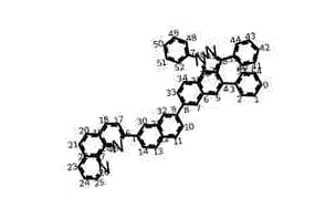 c1ccc(-c2cc3cc(-c4ccc5ccc(-c6ccc7ccc8cccnc8c7n6)cc5c4)ccc3c3c2c(-c2ccccc2)nn3-c2ccccc2)cc1